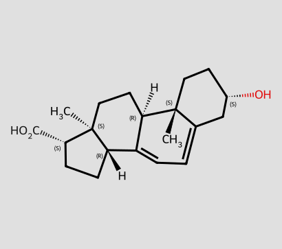 C[C@]12CC[C@@H]3C(=CC=C4C[C@@H](O)CC[C@]43C)[C@@H]1CC[C@@H]2C(=O)O